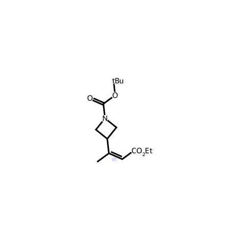 CCOC(=O)/C=C(/C)C1CN(C(=O)OC(C)(C)C)C1